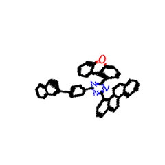 c1ccc2cc(-c3ccc(-c4nc(-c5cccc6ccc7c8ccccc8ccc7c56)nc(-c5cccc6oc7ccccc7c56)n4)cc3)ccc2c1